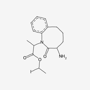 CC(I)OC(=O)C(C)N1C(=O)C(N)CCCc2ccccc21